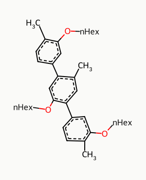 CCCCCCOc1cc(-c2cc(OCCCCCC)c(-c3ccc(C)c(OCCCCCC)c3)cc2C)ccc1C